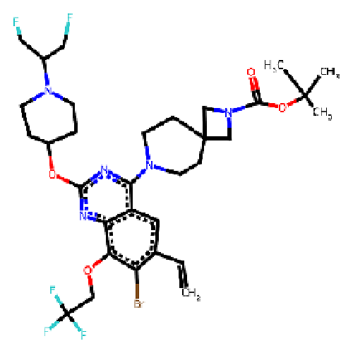 C=Cc1cc2c(N3CCC4(CC3)CN(C(=O)OC(C)(C)C)C4)nc(OC3CCN(C(CF)CF)CC3)nc2c(OCC(F)(F)F)c1Br